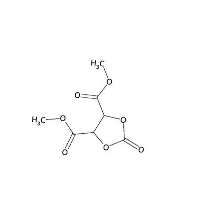 COC(=O)C1OC(=O)OC1C(=O)OC